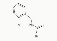 S=C(S)NCc1ccccc1.[Ni]